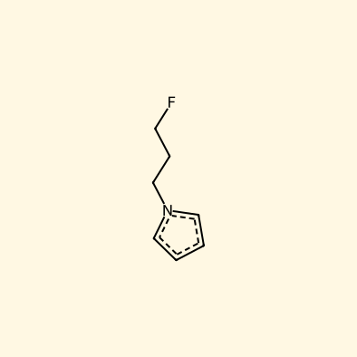 FCCCn1cccc1